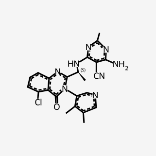 Cc1nc(N)c(C#N)c(N[C@@H](C)c2nc3cccc(Cl)c3c(=O)n2-c2cncc(C)c2C)n1